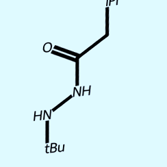 CC(C)CC(=O)NNC(C)(C)C